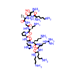 CC[C@H](NC(=O)[C@@H](NC(=O)[C@@H](N)CCCCN)[C@@H](O)CN)C(=O)NCC(=O)N[C@H](CCCN)C(=O)N1CCC[C@H]1C(=O)N[C@@H](Cc1cnc[nH]1)C(=O)N[C@@H](CCCCN)C(=O)N/C(=C\CCNC(=N)N)C(=O)N[C@@H](CCCCN)C(=O)NCCCCN